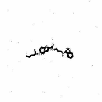 CCCCC(=O)Nc1ccc2sc(C(=O)NCCCNc3nsc4ccccc34)cc2c1